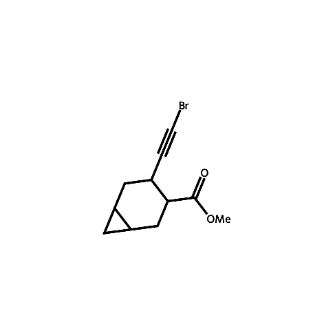 COC(=O)C1CC2CC2CC1C#CBr